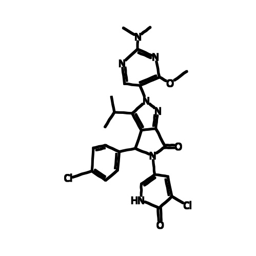 COc1nc(N(C)C)ncc1-n1nc2c(c1C(C)C)C(c1ccc(Cl)cc1)N(c1c[nH]c(=O)c(Cl)c1)C2=O